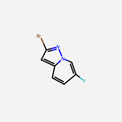 Fc1ccc2cc(Br)nn2c1